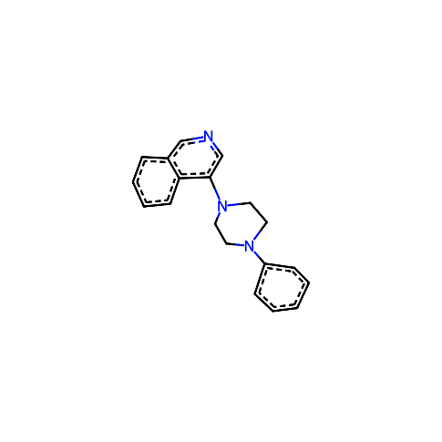 c1ccc(N2CCN(c3cncc4ccccc34)CC2)cc1